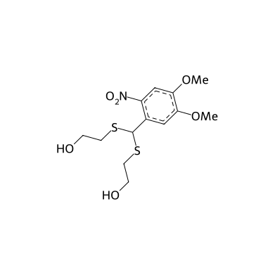 COc1cc(C(SCCO)SCCO)c([N+](=O)[O-])cc1OC